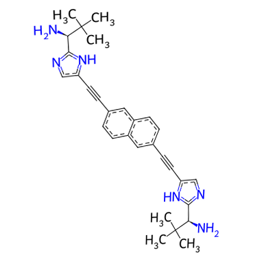 CC(C)(C)[C@H](N)c1ncc(C#Cc2ccc3cc(C#Cc4cnc([C@@H](N)C(C)(C)C)[nH]4)ccc3c2)[nH]1